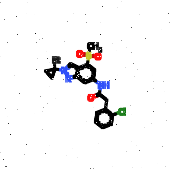 CCC1(n2cc3c(S(C)(=O)=O)cc(NC(=O)Cc4ccccc4Cl)cc3n2)CC1